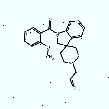 C=CCN1CCC2(CC1)CN(C(=O)c1ccccc1OC)c1ccccc12